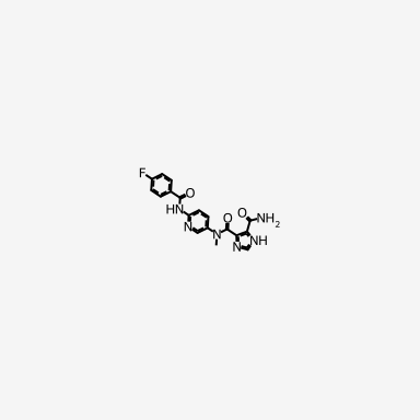 CN(C(=O)c1nc[nH]c1C(N)=O)c1ccc(NC(=O)c2ccc(F)cc2)nc1